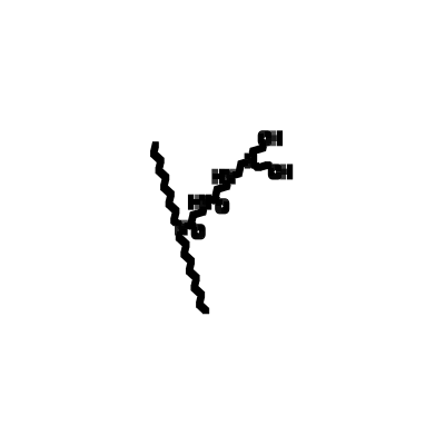 CCCCCCCCCCN(CCCCCCCCCC)C(=O)CCNC(=O)CCNCCN(CCO)CCO